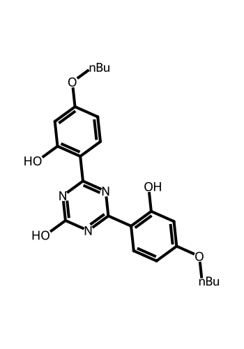 CCCCOc1ccc(-c2nc(O)nc(-c3ccc(OCCCC)cc3O)n2)c(O)c1